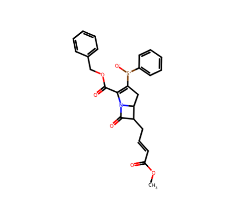 COC(=O)C=CCC1C(=O)N2C(C(=O)OCc3ccccc3)=C([S+]([O-])c3ccccc3)CC12